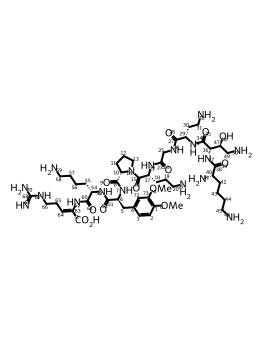 COc1ccc(C[C@H](NC(=O)[C@@H]2CCCN2C(=O)[C@@H](CCCN)NC(=O)CNC(=O)[C@H](CCN)NC(=O)[C@@H](NC(=O)[C@@H](N)CCCCN)[C@@H](O)CN)C(=O)N[C@@H](CCCCN)C(=O)N/C(=C\CCNC(=N)N)C(=O)O)cc1OC